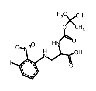 CC(C)(C)OC(=O)NC(CNc1cccc(I)c1[N+](=O)[O-])C(=O)O